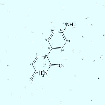 C=C/C=C\N(C(N)=O)c1ccc(N)cc1